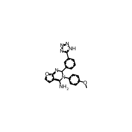 COc1ccc(N2C(N)=c3ccoc3=NC2c2cccc(-c3nnn[nH]3)c2)cc1